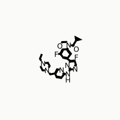 CCN1CCN(Cc2ccc(Nc3ncc(F)c(-c4cc(F)c5c(c4)N(C(=O)C4CC4)CCO5)n3)nc2)CC1